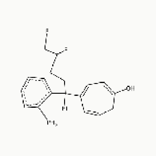 CCC(CCC(F)CF)(C1=CC=C(O)CC=C1)c1ccccc1P